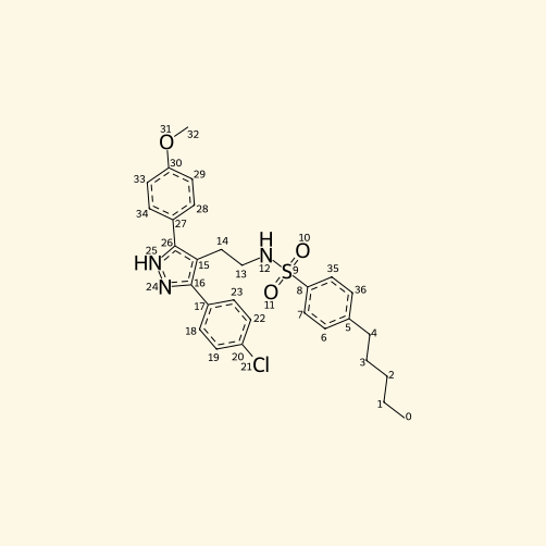 CCCCCc1ccc(S(=O)(=O)NCCc2c(-c3ccc(Cl)cc3)n[nH]c2-c2ccc(OC)cc2)cc1